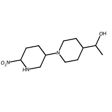 CC(O)C1CCN(C2CCC([N+](=O)[O-])NC2)CC1